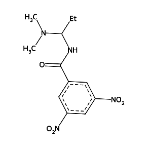 CCC(NC(=O)c1cc([N+](=O)[O-])cc([N+](=O)[O-])c1)N(C)C